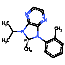 Cc1ccccc1N1c2nccnc2N(C(C)C)[C@H]1C